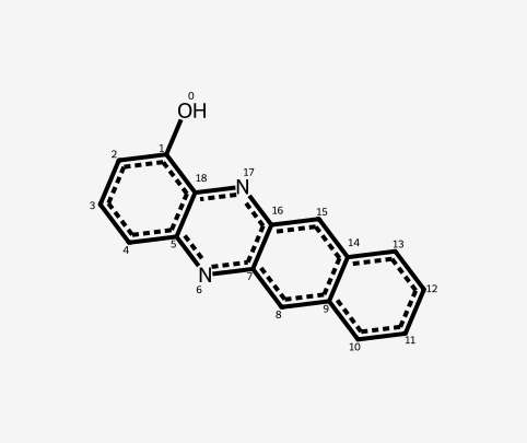 Oc1cccc2nc3cc4ccccc4cc3nc12